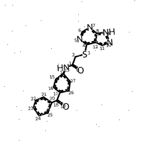 O=C(CSc1ncnc2[nH]ncc12)Nc1ccc(C(=O)c2ccccc2)cc1